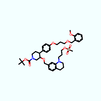 COc1ccccc1COCCCOc1ccc(C2CCN(C(=O)OC(C)(C)C)CC2OCc2ccc3c(c2)N(CCCOS(C)(=O)=O)CCC3)cc1